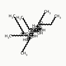 CCCCCCCCCCCCCCCC(=O)O[C@H](CCCCCCCCCCC)CC(=O)NC1COC(COC2OC(CO)C(OP(=O)(O)O)C(OC(=O)C[C@@H](CCCCCCCCCCC)OC(=O)CCCCCCCCCCCCCCC)C2NC(=O)C[C@H](O)CCCCCCCCCCC)C(O)C1OC(=O)C[C@H](O)CCCCCCCCCCC